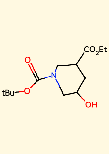 CCOC(=O)C1CC(O)CN(C(=O)OC(C)(C)C)C1